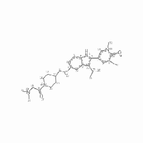 Cc1cc(-c2[nH]c3ccc(OCC4CCN(C(=O)CN(C)C)CC4)cc3c2C(C)C)cn(C)c1=O